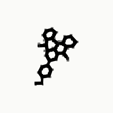 C=Cc1ccc(-c2cc3c(=O)c4ccccc4n4c5ccccc5c(=O)c(c2)c34)cc1